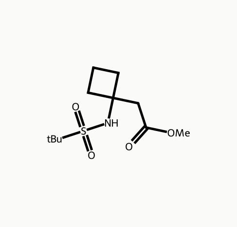 COC(=O)CC1(NS(=O)(=O)C(C)(C)C)CCC1